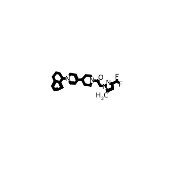 Cc1cc(C(F)F)nn1CC(=O)N1CCC(C2=CCN(C3CCCc4ccccc43)C=C2)CC1